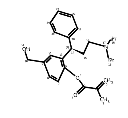 C=C(C)C(=O)Oc1ccc(CO)cc1[C@H](CCN(C(C)C)C(C)C)c1ccccc1